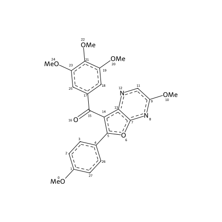 COc1ccc(-c2oc3nc(OC)cnc3c2C(=O)c2cc(OC)c(OC)c(OC)c2)cc1